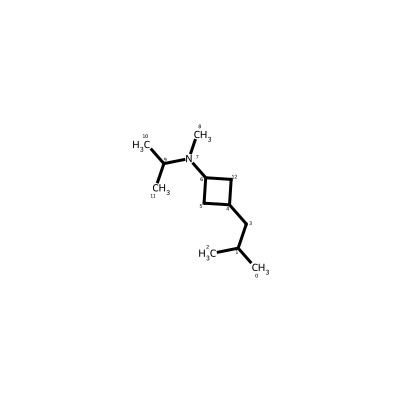 CC(C)CC1CC(N(C)C(C)C)C1